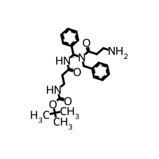 CC(C)(C)OC(=O)NCCC(=O)N[C](c1ccccc1)N(Cc1ccccc1)C(=O)CCN